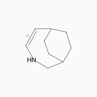 C1=C\C2CCC(CC2)CN/1